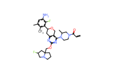 C=CC(=O)N1CCN(c2nc(OCC34CCCN3CC(F)C4)nc3c2COC(c2c(F)c(N)cc(C)c2C(F)(F)F)C3)C(C)C1